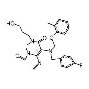 C=N/C(=C(/C(=O)N(C)CCCO)N(COc1ccccc1C)Cc1ccc(F)cc1)N(C)C=O